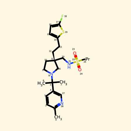 Cc1ccc(C(C)(C)N2CC[C@](CCc3ccc(F)s3)(CNS(=O)(=O)C(C)C)C2)cn1